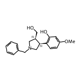 COc1ccc([C@H]2CN(Cc3ccccc3)C[C@H]2CO)c(O)c1